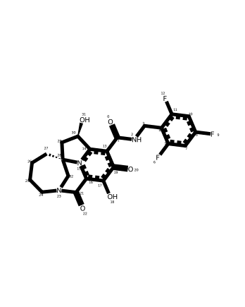 O=C(NCc1c(F)cc(F)cc1F)c1c2n3c(c(O)c1=O)C(=O)N1CCCC[C@@]3(C[C@H]2O)C1